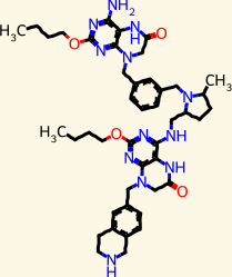 CCCCOc1nc(N)c2c(n1)N(Cc1cccc(CN3C(C)CCC3CNc3nc(OCCCC)nc4c3NC(=O)CN4Cc3ccc4c(c3)CCNC4)c1)CC(=O)N2